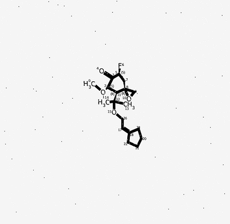 CO[C@@H]1C(=O)[C@@H](F)C[C@]2(CO2)[C@H]1C(C)(C)OCC=C1CCCC1